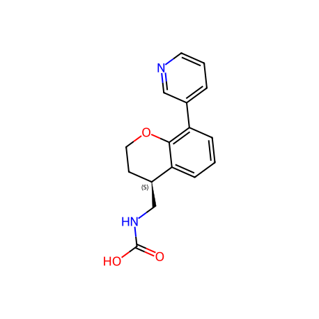 O=C(O)NC[C@H]1CCOc2c(-c3cccnc3)cccc21